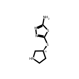 Nc1nnc(S[C@H]2CCNC2)s1